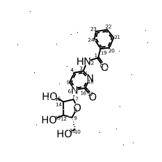 O=C(Nc1ccn([C@@H]2O[C@H](CO)C(O)C2O)c(=O)n1)c1ccccc1